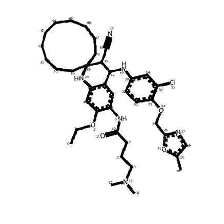 CCOc1cc2c(cc1NC(=O)CCCN(C)C)C(Nc1ccc(OCc3ncc(C)o3)c(Cl)c1)C(C#N)C1(CCCCCCCCCC1)N2